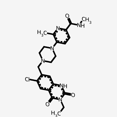 CCn1c(=O)[nH]c2cc(CN3CCN(c4ccc(C(=O)NC)nc4C)CC3)c(Cl)cc2c1=O